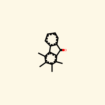 Cc1c(C)c(C)c2c(c1C)C(=O)c1ccccc1-2